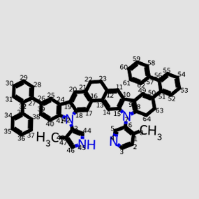 Cc1ccncc1-n1c2c(c3cc4c(cc31)-c1cc3c(cc1CC4)c1cc(-c4ccccc4-c4ccccc4)ccc1n3-c1c[nH]cc1C)C=C(c1ccccc1-c1ccccc1)CC2